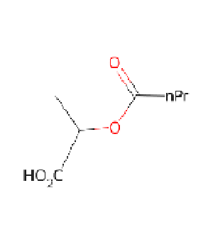 CCCC(=O)OC(C)C(=O)O